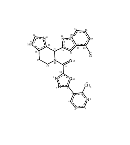 Cc1ncccc1-c1nnc(C(=O)N2CCc3[nH]cnc3C2c2cc3c(Cl)cccn3n2)o1